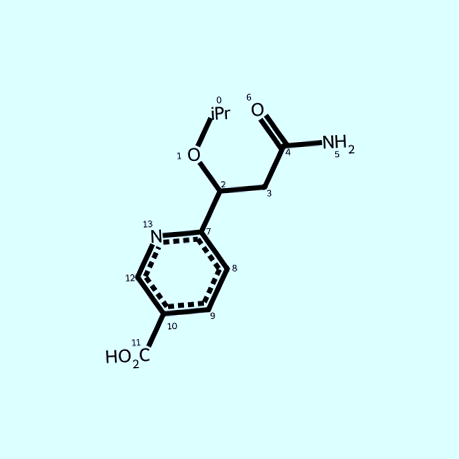 CC(C)OC(CC(N)=O)c1ccc(C(=O)O)cn1